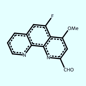 COc1cc(C=O)nc2c1c(F)cc1cccnc12